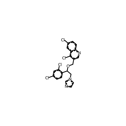 Clc1ccc(C(Cn2ccnc2)OCc2cnc3ccc(Cl)cc3c2Cl)c(Cl)c1